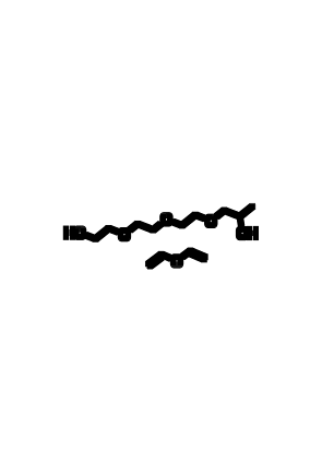 C=COC=C.CC(O)COCCOCCOCCO